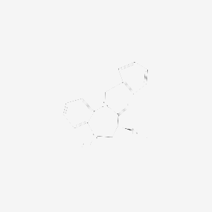 CC(=O)N1C[C@H](N)C(=O)N(Cc2ccccc2)c2ccccc21